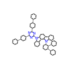 c1ccc(-c2ccc(-c3nc(-c4ccc(-c5ccccc5)cc4)nc(-n4c5ccccc5c5c4ccc4c6ccccc6n(-c6cccc(-c7ccccc7)c6-c6ccccc6)c45)n3)cc2)cc1